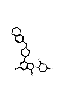 O=C1CCC(N2Cc3c(cc(F)cc3N3CCN(Cc4ccc5c(c4)CCCO5)CC3)C2=O)C(=O)N1